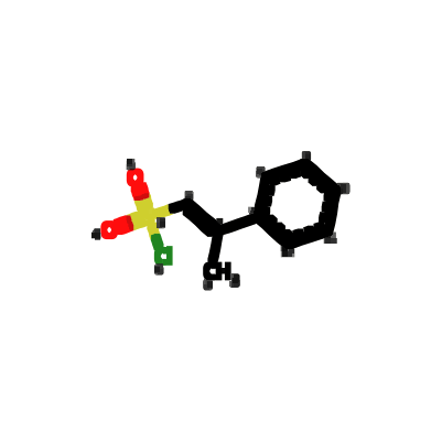 C/C(=C\S(=O)(=O)Cl)c1ccccc1